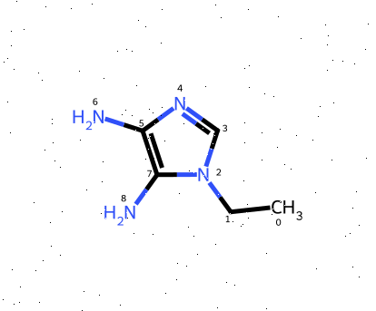 CCn1cnc(N)c1N